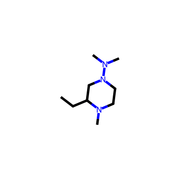 CCC1CN(N(C)C)CCN1C